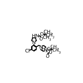 CC(C)(C)OC(=O)NC1CCN(c2cc(Cl)ccc2CN2CCNCC2)C1.CC(C)(C)OC=O